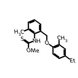 CCc1ccc(OCc2cccc(C)c2NC(=S)OC)c(C)c1